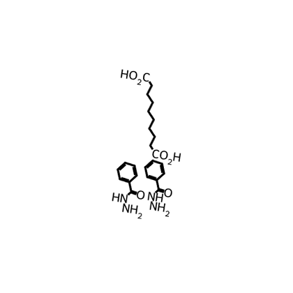 NNC(=O)c1ccccc1.NNC(=O)c1ccccc1.O=C(O)CCCCCCCCC(=O)O